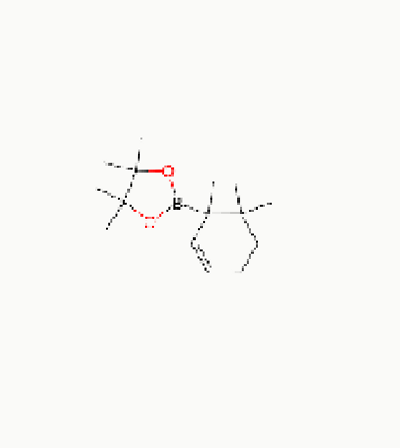 CC1(C)CCC=CC1(C)B1OC(C)(C)C(C)(C)O1